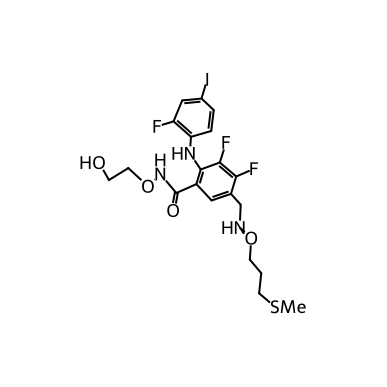 CSCCCONCc1cc(C(=O)NOCCO)c(Nc2ccc(I)cc2F)c(F)c1F